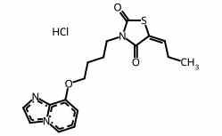 CCC=C1SC(=O)N(CCCCOc2cccn3ccnc23)C1=O.Cl